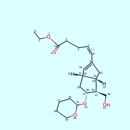 CCOC(=O)CC/C=C\C1=C[C@H]2C[C@@H](OC3CCCCO3)[C@H](CO)[C@H]2C1